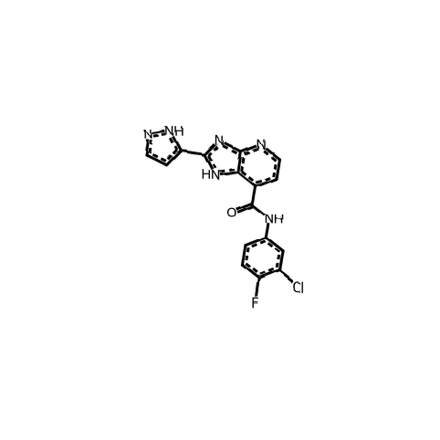 O=C(Nc1ccc(F)c(Cl)c1)c1ccnc2nc(-c3ccn[nH]3)[nH]c12